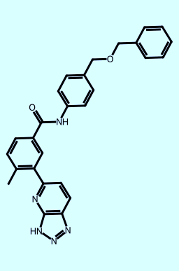 Cc1ccc(C(=O)Nc2ccc(COCc3ccccc3)cc2)cc1-c1ccc2nn[nH]c2n1